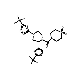 O=C(C1CCS(=O)(=O)CC1)N1CCN(c2nnc(C(F)(F)F)s2)C[C@H]1c1ccc(C(F)(F)F)s1